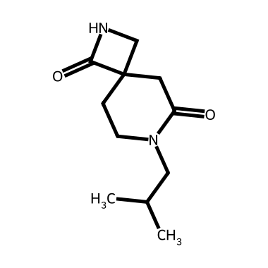 CC(C)CN1CCC2(CNC2=O)CC1=O